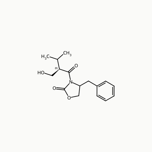 CC(C)[C@H](CO)C(=O)N1C(=O)OCC1Cc1ccccc1